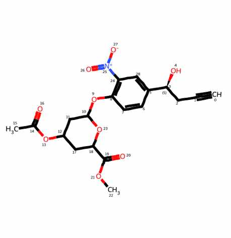 C#CC[C@H](O)c1ccc(OC2CC(OC(C)=O)CC(C(=O)OC)O2)c([N+](=O)[O-])c1